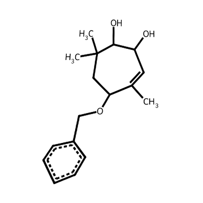 CC1=CC(O)C(O)C(C)(C)CC1OCc1ccccc1